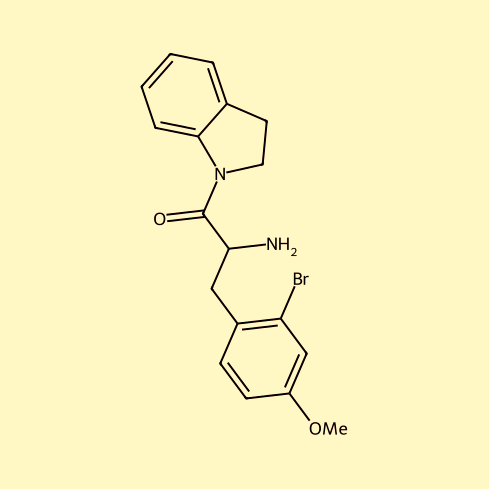 COc1ccc(CC(N)C(=O)N2CCc3ccccc32)c(Br)c1